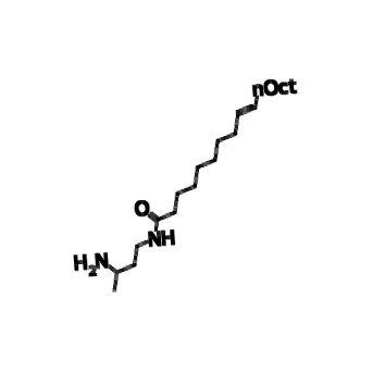 CCCCCCCCC=CCCCCCCCC(=O)NCCC(C)N